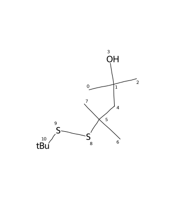 CC(C)(O)CC(C)(C)SSC(C)(C)C